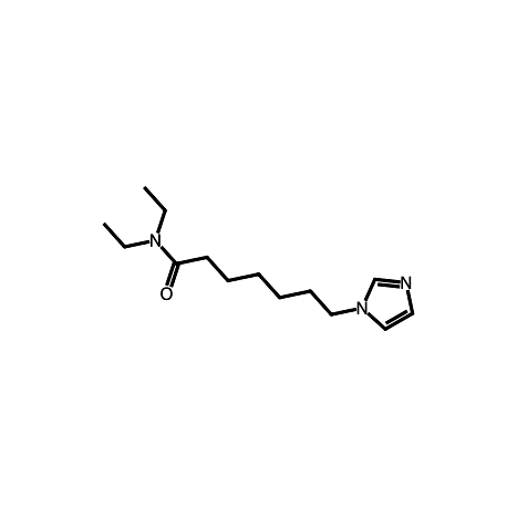 CCN(CC)C(=O)CCCCCCn1ccnc1